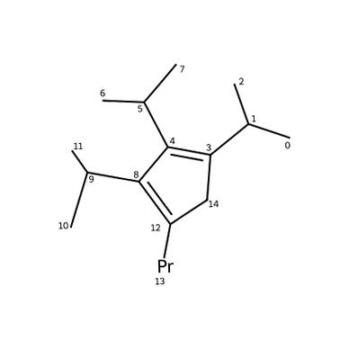 CC(C)C1=C(C(C)C)C(C(C)C)=[C]([Pr])C1